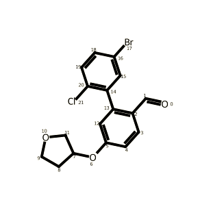 O=Cc1ccc(OC2CCOC2)cc1-c1cc(Br)ccc1Cl